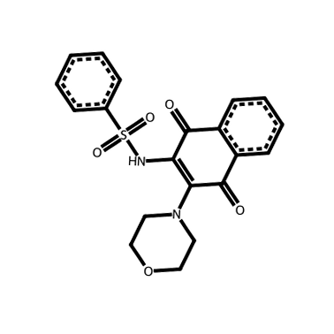 O=C1C(NS(=O)(=O)c2ccccc2)=C(N2CCOCC2)C(=O)c2ccccc21